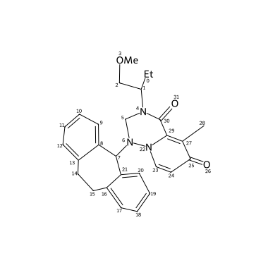 CCC(COC)N1CN(C2c3ccccc3CCc3ccccc32)n2ccc(=O)c(C)c2C1=O